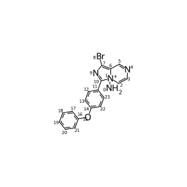 N[N+]12C=CN=CC1=C(Br)N=C2c1ccc(Oc2ccccc2)cc1